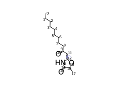 CCCCCCCCCC(=O)/C=C1\NC(=O)C(C)O1